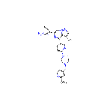 C=C/C(=C\N)c1cn2ncc(C#N)c2c(-c2ccc(N3CCN(Cc4ccnc(OC)c4)CC3)nc2)n1